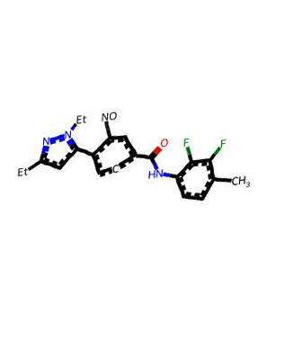 CCc1cc(-c2ccc(C(=O)Nc3ccc(C)c(F)c3F)cc2N=O)n(CC)n1